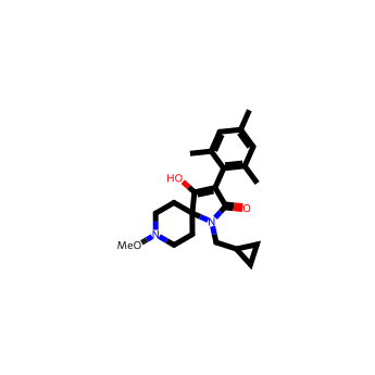 CON1CCC2(CC1)C(O)=C(c1c(C)cc(C)cc1C)C(=O)N2CC1CC1